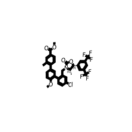 COC(=O)c1ccc(-c2ccc(OC)c(-c3ccc(Cl)cc3CN3C(=O)O[C@H](c4cc(C(F)(F)F)cc(C(F)(F)F)c4)[C@@H]3C)c2)c(C)c1